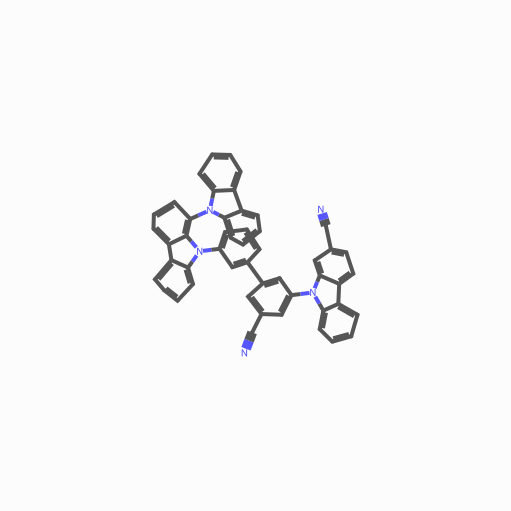 N#Cc1cc(-c2cccc(-n3c4ccccc4c4cccc(-n5c6ccccc6c6ccccc65)c43)c2)cc(-n2c3ccccc3c3ccc(C#N)cc32)c1